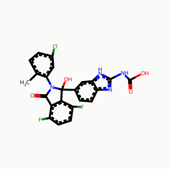 Cc1ccc(Cl)cc1N1C(=O)c2c(F)ccc(F)c2C1(O)c1ccc2nc(NC(=O)O)[nH]c2c1